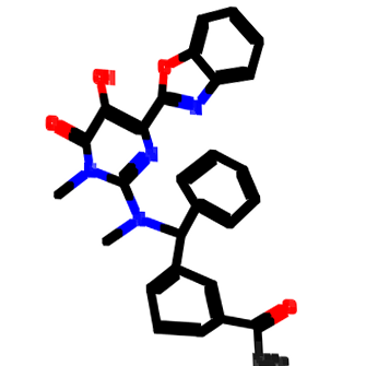 CNC(=O)c1cccc(C(c2ccccc2)N(C)c2nc(-c3nc4ccccc4o3)c(O)c(=O)n2C)c1